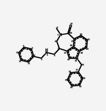 CN1CC(CNCc2ccccc2)c2cn(Cc3ccccc3)c3cccc(c23)C1=O